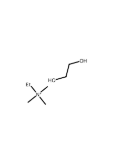 CC[N+](C)(C)C.OCCO